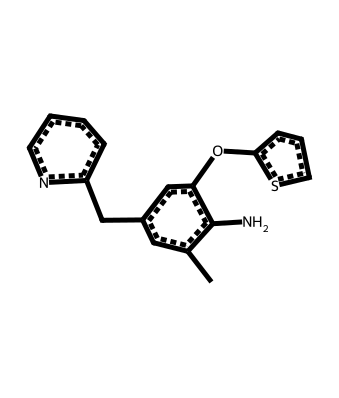 Cc1cc(Cc2ccccn2)cc(Oc2cccs2)c1N